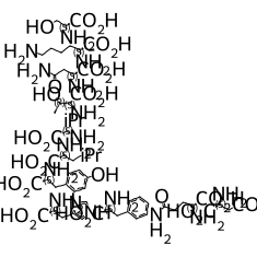 CC(C)C[C@H](N)C(=O)O.CC(C)[C@H](N)C(=O)O.C[C@@H](O)[C@H](N)C(=O)O.NC(=O)CC[C@H](N)C(=O)O.NC(=O)C[C@H](N)C(=O)O.NCCCC[C@H](N)C(=O)O.N[C@@H](CC(=O)O)C(=O)O.N[C@@H](CO)C(=O)O.N[C@@H](Cc1c[nH]cn1)C(=O)O.N[C@@H](Cc1ccc(O)cc1)C(=O)O.N[C@@H](Cc1ccccc1)C(=O)O